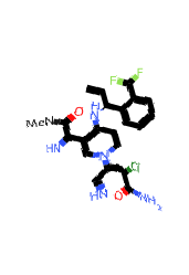 C=C[C@@H](NC1=C(C(=N)C(=O)NC)CN(/C(C=N)=C(\Cl)C(N)=O)CC1)c1ccccc1C(F)F